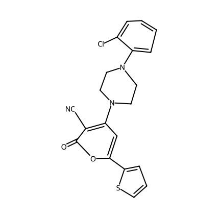 N#Cc1c(N2CCN(c3ccccc3Cl)CC2)cc(-c2cccs2)oc1=O